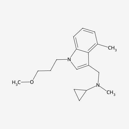 COCCCn1cc(CN(C)C2CC2)c2c(C)cccc21